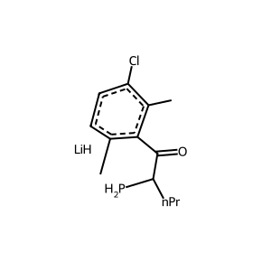 [CH2]CCC(P)C(=O)c1c(C)ccc(Cl)c1C.[LiH]